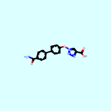 NC(=O)c1ccc(-c2ccc(On3cc(C(=O)O)nn3)cc2)cc1